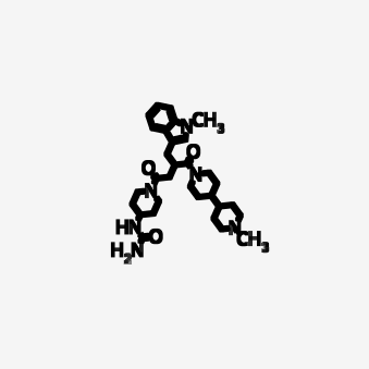 CN1CCC(C2CCN(C(=O)C(CC(=O)N3CCC(NC(N)=O)CC3)Cc3cn(C)c4ccccc34)CC2)CC1